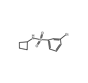 CCc1cccc(S(=O)(=O)NC2CCC2)c1